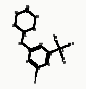 FC(F)(F)c1cc(I)cc(CN2CCOCC2)c1